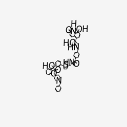 O=C(NCc1ccc(-c2cccc([C@](O)(C(=O)OC3CCN(Cc4ccccc4)CC3)c3ccccc3)c2)s1)c1ccc(CNC[C@H](O)c2ccc(O)c3[nH]c(=O)ccc23)cc1